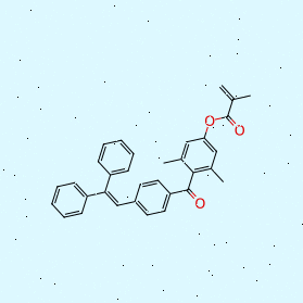 C=C(C)C(=O)Oc1cc(C)c(C(=O)c2ccc(C=C(c3ccccc3)c3ccccc3)cc2)c(C)c1